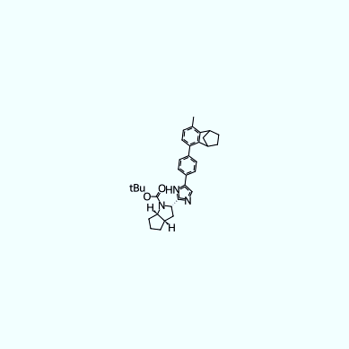 Cc1ccc(-c2ccc(-c3cnc([C@@H]4C[C@@H]5CCC[C@@H]5N4C(=O)OC(C)(C)C)[nH]3)cc2)c2c1C1CCC2C1